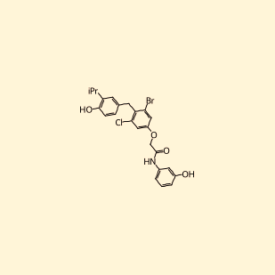 CC(C)c1cc(Cc2c(Cl)cc(OCC(=O)Nc3cccc(O)c3)cc2Br)ccc1O